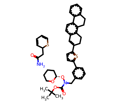 CC(C)(C)OC(=O)N(Cc1cccc(-c2ccc(C3=Cc4ccc5c(c4CC3)CCc3ccccc3-5)s2)c1)O[C@H]1CCCCO1.NC(=O)CC1C=CC=CS1